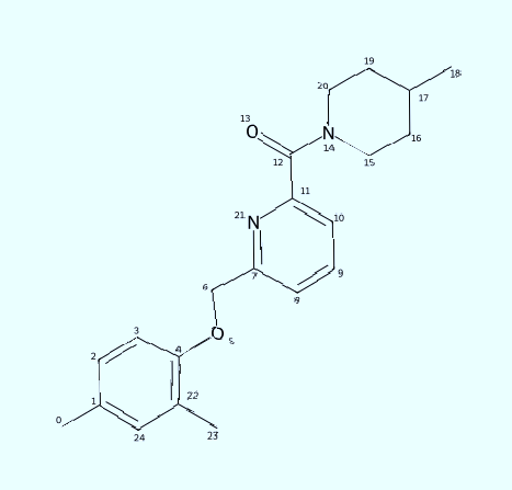 Cc1ccc(OCc2cccc(C(=O)N3CCC(C)CC3)n2)c(C)c1